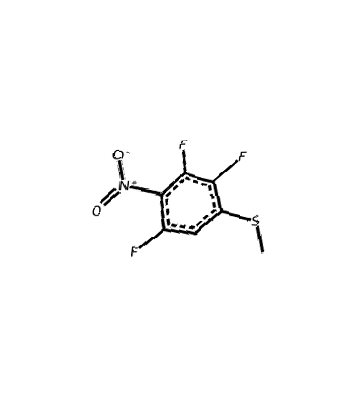 CSc1cc(F)c([N+](=O)[O-])c(F)c1F